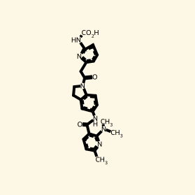 Cc1ccc(C(=O)Nc2ccc3c(c2)CCN3C(=O)Cc2cccc(NC(=O)O)n2)c(N(C)C)n1